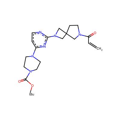 C=CC(=O)N1CCC2(C1)CN(c1nccc(N3CCN(C(=O)OC(C)(C)C)CC3)n1)C2